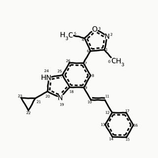 Cc1noc(C)c1-c1cc(C=Cc2ccccc2)c2nc(C3CC3)[nH]c2c1